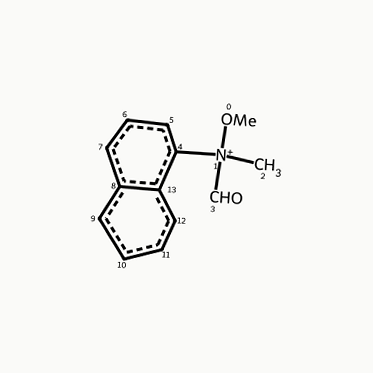 CO[N+](C)(C=O)c1cccc2ccccc12